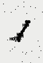 O=C(CCOCCOCCOCCOCCNC(=O)OCC1c2ccccc2-c2ccccc21)NCC(=O)NCC(=O)N[C@@H](Cc1ccccc1)C(=O)O